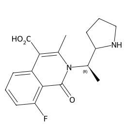 Cc1c(C(=O)O)c2cccc(F)c2c(=O)n1[C@H](C)C1CCCN1